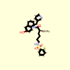 CC(=O)N[C@@H](CCCCNS(=O)(=O)c1ccccc1F)C(=O)NC1(Cc2cccnc2)C=CCc2cc(O)ccc21